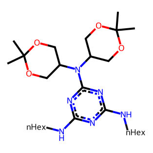 CCCCCCNc1nc(NCCCCCC)nc(N(C2COC(C)(C)OC2)C2COC(C)(C)OC2)n1